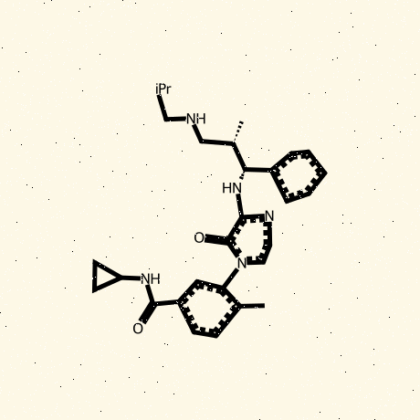 Cc1ccc(C(=O)NC2CC2)cc1-n1ccnc(N[C@@H](c2ccccc2)[C@@H](C)CNCC(C)C)c1=O